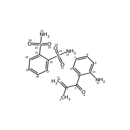 C=C(C)C(=O)c1ccccc1N.NS(=O)(=O)c1ccccc1S(N)(=O)=O